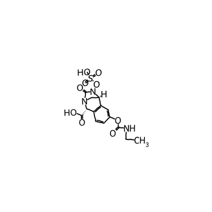 CCNC(=O)Oc1ccc2c(c1)[C@H]1CN(C(=O)N1OS(=O)(=O)O)[C@H]2C(=O)O